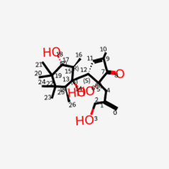 C=C(CO)C[C@]1(O)C(=O)C(C)=C[C@H]1[C@@]1(O)[C@H](C)[C@@H](O)C(C)(C)C(C)(C)[C@@H]1C